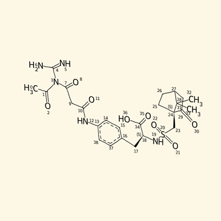 CC(=O)N(C(=N)N)C(=O)CC(=O)Nc1ccc(C[C@H](NS(=O)(=O)C[C@]23CCC(CC2=O)C3(C)C)C(=O)O)cc1